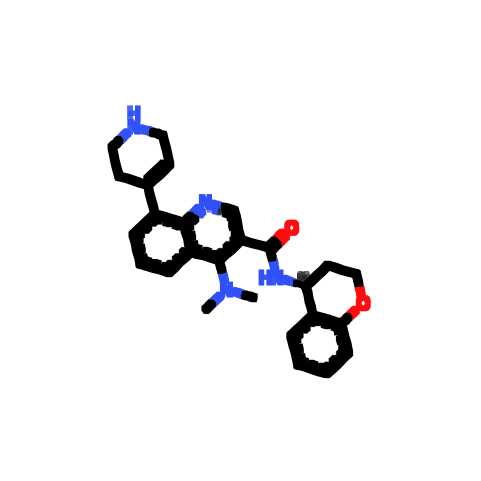 CN(C)c1c(C(=O)N[C@H]2CCOc3ccccc32)cnc2c(C3=CCNCC3)cccc12